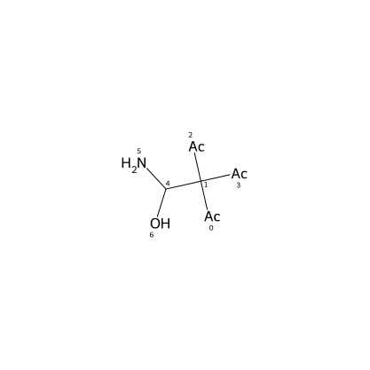 CC(=O)C(C(C)=O)(C(C)=O)C(N)O